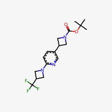 CC(C)(C)OC(=O)N1CC(c2ccc(N3CC(C(F)(F)F)C3)nc2)C1